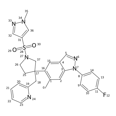 Cc1cc2c(cnn2-c2ccc(F)cc2)cc1C1(Cc2ccccn2)CCN(S(=O)(=O)c2cnn(C)c2)C1